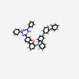 c1ccc(C2N=C(c3ccc4c(c3)oc3c(-n5c6ccccc6c6cc(-c7ccc8sc9ccccc9c8c7)ccc65)cccc34)NC(c3ccccc3)N2)cc1